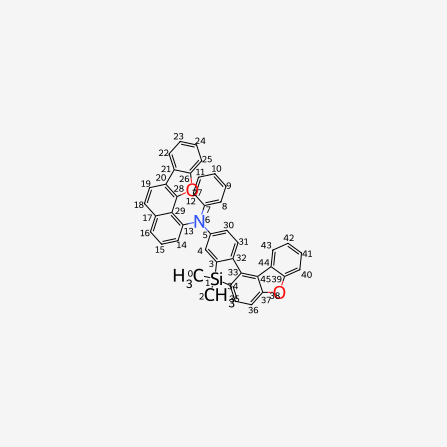 C[Si]1(C)c2cc(N(c3ccccc3)c3cccc4ccc5c6ccccc6oc5c34)ccc2-c2c1ccc1oc3ccccc3c21